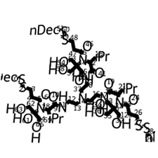 CCCCCCCCCCSSCCC(=O)N(C(C(=O)NCCN(CCNC(=O)C(C(C)C)N(C(=O)CCSSCCCCCCCCCC)C(CO)(CO)CO)CCNC(=O)C(C(C)C)N(C(=O)CCSSCCCCCCCCCC)C(CO)(CO)CO)C(C)C)C(O)(CO)CO